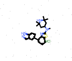 CN(c1nc2c(-c3ccc4[nH]ncc4c3)cccc2s1)C1CC(C)(C)NC(C)(C)C1.Cl